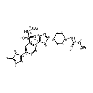 Cc1ncc(-c2ccc(-c3cnc([C@H]4CC[C@H](NC(=O)OC(C)C)CC4)s3)c(S(=O)(=O)NC(C)(C)C)c2)s1